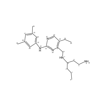 CCCC(CCN)NCc1nc(Nc2cc(C)cc(C)c2)ncc1CC